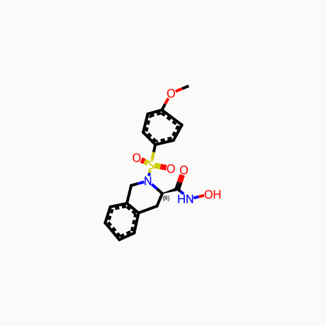 COc1ccc(S(=O)(=O)N2Cc3ccccc3C[C@@H]2C(=O)NO)cc1